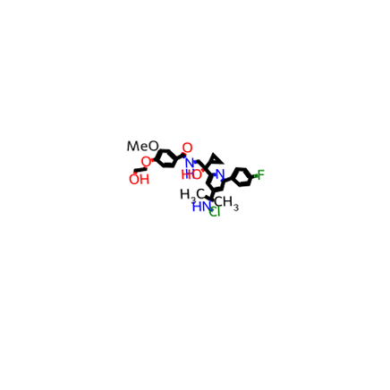 COc1cc(C(=O)NCC(O)(c2cc(C(C)(C)NCl)cc(-c3ccc(F)cc3)n2)C2CC2)ccc1OCCO